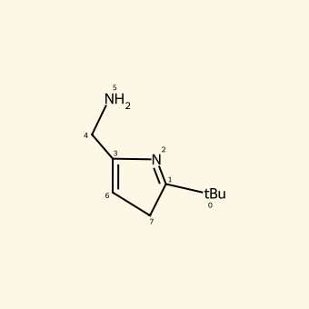 CC(C)(C)C1=NC(CN)=CC1